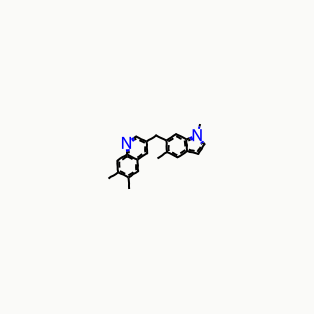 Cc1cc2cc(Cc3cc4c(ccn4C)cc3C)cnc2cc1C